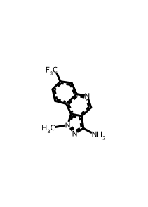 Cn1nc(N)c2cnc3cc(C(F)(F)F)ccc3c21